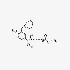 COC(=O)NCCNC(C)c1ccc(O)c(CN2CCCCC2)c1